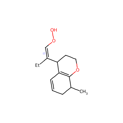 CC/C(=C/OO)C1CCOC2=C1C=CCC2C